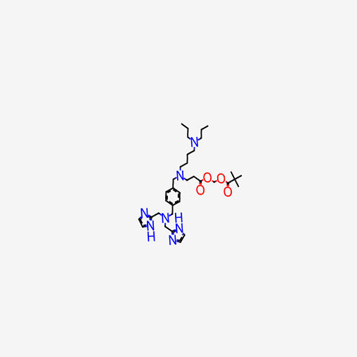 CCCN(CCC)CCCCN(CCC(=O)OCOC(=O)C(C)(C)C)Cc1ccc(CN(Cc2ncc[nH]2)Cc2ncc[nH]2)cc1